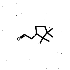 CC1(C)CCC(CC=O)C1(C)C